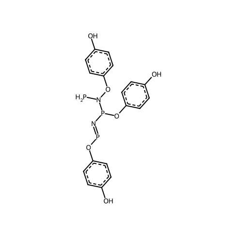 Oc1ccc(OP=NP(Oc2ccc(O)cc2)N(P)Oc2ccc(O)cc2)cc1